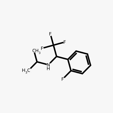 CC(C)NC(c1ccccc1F)C(F)(F)F